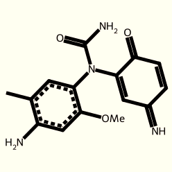 COc1cc(N)c(C)cc1N(C(N)=O)C1=CC(=N)C=CC1=O